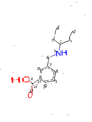 CCC(CC)NCc1cccc(C(=O)O)c1